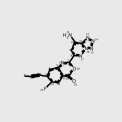 CC#Cc1cc2nc(-c3cc(N)c4nnnn4n3)oc(=O)c2cc1F